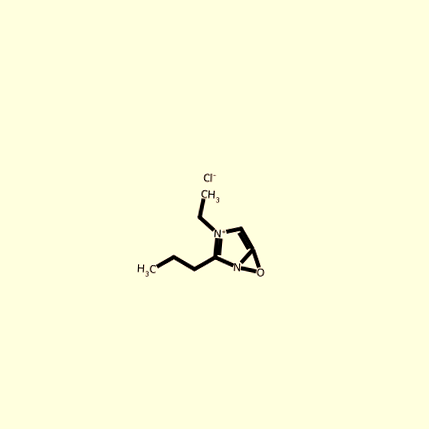 CCCc1n2c(c[n+]1CC)O2.[Cl-]